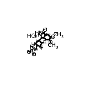 COc1cc2c(-c3ccc(CN[SH](=O)=O)c(F)c3F)n[nH]c(=O)c2cc1OC.Cl